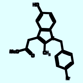 COC(=O)Cc1c(C)n(Cc2ccc(Br)cc2)c2ccc(O)cc12